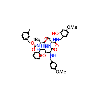 COc1ccc(CNC(C(=O)NC(C(=O)NCc2ccc(OC)cc2O)C(C)C)C(O)C(Cc2ccccc2)NC(=O)C(NC(=O)OCc2cccc(C)c2)C(C)(C)C)cc1